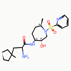 C[C@@H]1CC[C@H](NC(=O)C(N)CC2(C)CCCC2)[C@@H](O)CN1S(=O)(=O)c1ccccn1